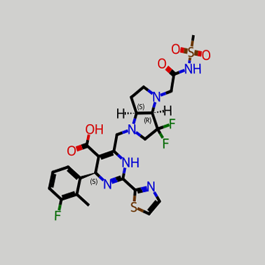 Cc1c(F)cccc1[C@@H]1N=C(c2nccs2)NC(CN2CC(F)(F)[C@H]3[C@@H]2CCN3CC(=O)NS(C)(=O)=O)=C1C(=O)O